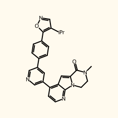 CC(C)c1cnoc1-c1ccc(-c2cncc(-c3ccnc4c3cc3n4CCN(C)C3=O)c2)cc1